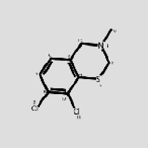 CN1CSc2c(ccc(Cl)c2Cl)C1